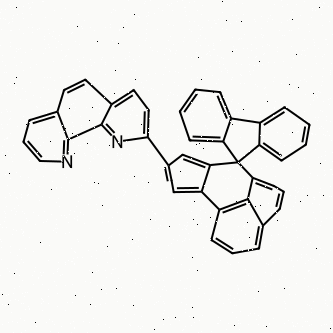 c1ccc2c(c1)-c1ccccc1C21c2cc(-c3ccc4ccc5cccnc5c4n3)ccc2-c2cccc3cccc1c23